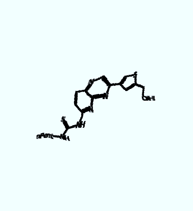 CCCCCNC(=S)Nc1ccc2ncc(-c3csc(CO)c3)nc2n1